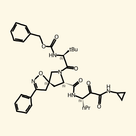 CCC[C@H](NC(=O)[C@@H]1C[C@]2(CC(c3ccccc3)=NO2)CN1C(=O)[C@@H](NC(=O)OCc1ccccc1)C(C)(C)C)C(=O)C(=O)NC1CC1